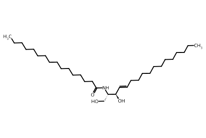 CCCCCCCCCCCC/C=C/[C@@H](O)[C@H](CO)NC(=O)CCCCCCCCCCCCCCC